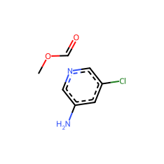 COC=O.Nc1cncc(Cl)c1